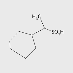 CC(C1CCCCC1)S(=O)(=O)O